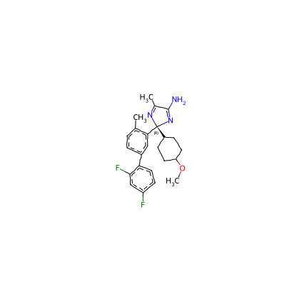 COC1CCC([C@@]2(c3cc(-c4ccc(F)cc4F)ccc3C)N=C(C)C(N)=N2)CC1